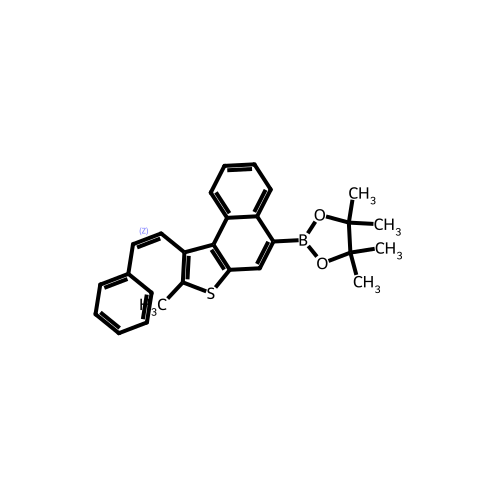 Cc1sc2cc(B3OC(C)(C)C(C)(C)O3)c3ccccc3c2c1/C=C\c1ccccc1